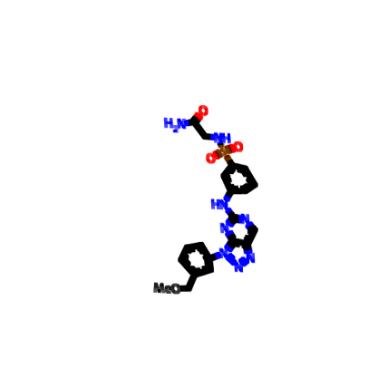 COCc1cccc(-n2nnc3cnc(Nc4cccc(S(=O)(=O)NCC(N)=O)c4)nc32)c1